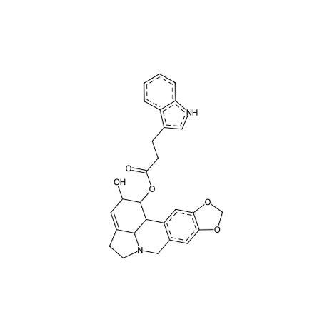 O=C(CCc1c[nH]c2ccccc12)OC1C(O)C=C2CCN3Cc4cc5c(cc4C1C23)OCO5